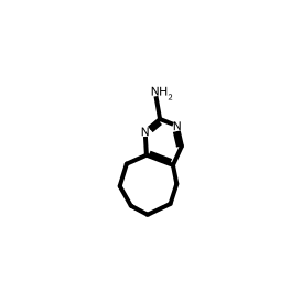 Nc1ncc2c(n1)CCCCCC2